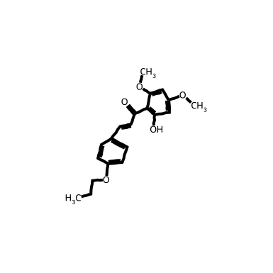 CCCOc1ccc(C=CC(=O)c2c(O)cc(OC)cc2OC)cc1